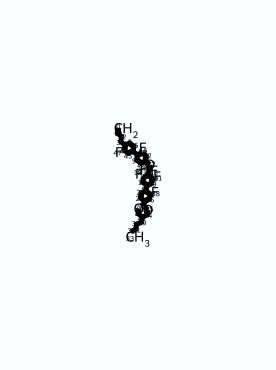 C=CCCc1ccc(-c2ccc(OC(F)(F)c3c(F)cc(-c4ccc(C5OCC(CCCCC)CO5)cc4F)cc3F)cc2F)cc1F